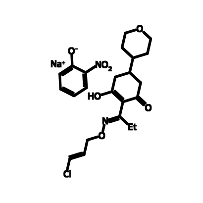 CC/C(=N\OC/C=C/Cl)C1=C(O)CC(C2CCOCC2)CC1=O.O=[N+]([O-])c1ccccc1[O-].[Na+]